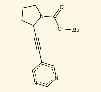 CC(C)(C)OC(=O)N1CCCC1C#Cc1cncnc1